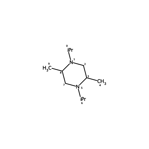 CC(C)N1CC(C)N(C(C)C)CC1C